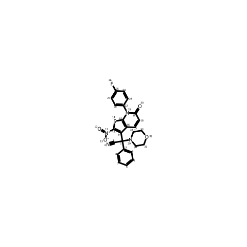 N#CC(c1ccccc1)(c1c([N+](=O)[O-])sc2c1ccc(=O)n2-c1ccc(F)cc1)N1CCOCC1